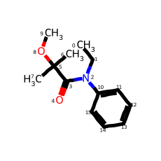 CCN(C(=O)C(C)(C)OC)c1ccccc1